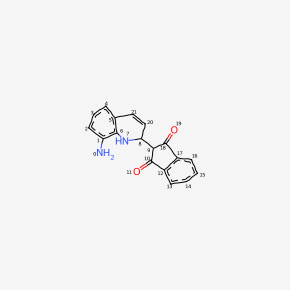 Nc1cccc2c1NC(C1C(=O)c3ccccc3C1=O)C=C2